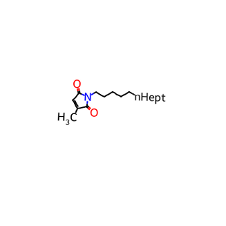 CCCCCCCCCCCCN1C(=O)C=C(C)C1=O